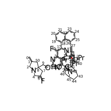 C=C1CN2C[C@H](F)CC2(COc2nc3c4c(nc(-c5cccc6cccc(C#C[Si](C(C)C)(C(C)C)C(C)C)c56)c(F)c4n2)OC(C)C2C4CCC(CN32)N4C(=O)O)C1